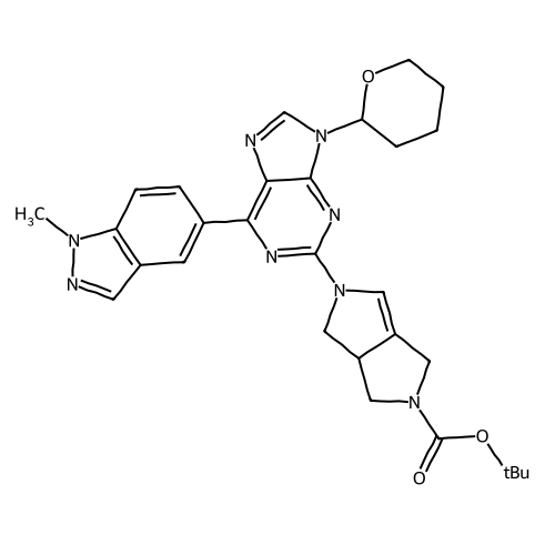 Cn1ncc2cc(-c3nc(N4C=C5CN(C(=O)OC(C)(C)C)CC5C4)nc4c3ncn4C3CCCCO3)ccc21